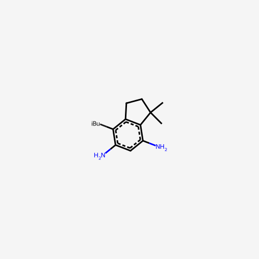 CCC(C)c1c(N)cc(N)c2c1CCC2(C)C